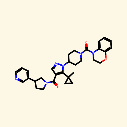 CC1(c2c(C(=O)N3CCC(c4cccnc4)C3)cnn2C2CCN(C(=O)N3CCOc4ccccc43)CC2)CC1